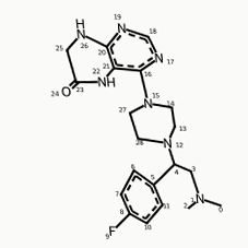 CN(C)CC(c1ccc(F)cc1)N1CCN(c2ncnc3c2NC(=O)CN3)CC1